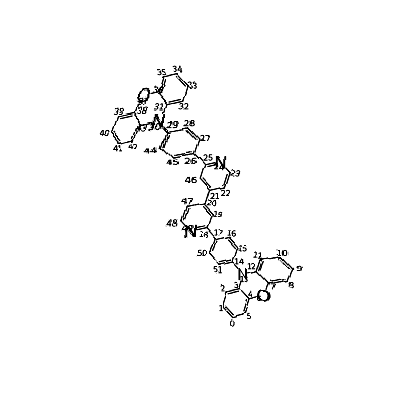 c1ccc2c(c1)Oc1ccccc1N2c1ccc(-c2cc(-c3ccnc(-c4ccc(N5c6ccccc6Oc6ccccc65)cc4)c3)ccn2)cc1